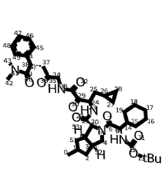 CC1C[C@H]2CN(C(=O)[C@@H](NC(=O)OC(C)(C)C)C3CCCCC3)[C@H](C(=O)NC(CC3CC3)C(=O)C(=O)NCC(=O)C[C@H](C(=O)N(C)C)c3ccccc3)[C@H]2C1